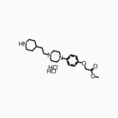 COC(=O)COc1ccc(N2CCN(CCC3CCNCC3)CC2)cc1.Cl.Cl